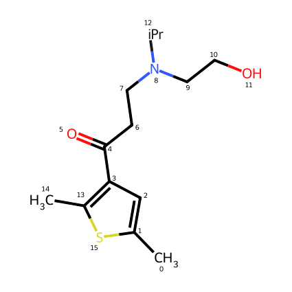 Cc1cc(C(=O)CCN(CCO)C(C)C)c(C)s1